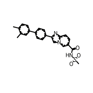 Cc1ccc(-c2ccc(-c3cn4cc(C(=O)NS(C)(=O)=O)ccc4n3)cc2)cc1C